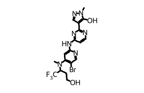 CN(c1cc(Nc2ccnc(-c3cnn(C)c3O)n2)ncc1Br)C(CCO)C(F)(F)F